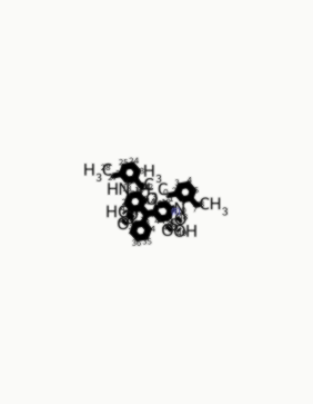 CCc1cccc(CC)c1/N=c1\cc2oc3cc(Nc4c(CC)cccc4CC)ccc3c(-c3ccccc3S(=O)(=O)O)c-2cc1S(=O)(=O)O